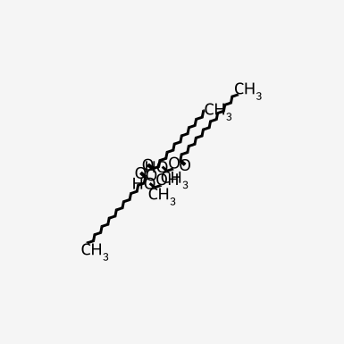 CC(O)CO.CCCCCCCCCCCCCCCCCC(=O)OC(=O)CCCCCCCCCCCCCCC.CCCCCCCCCCCCCCCCCC(=O)OCC(C)O